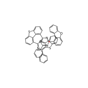 c1ccc(-c2nc(-c3cccc4oc5ccccc5c34)nc(-c3cccc4sc5cccc(-c6nc(-c7ccccc7)c7sc8ccccc8c7n6)c5c34)n2)cc1